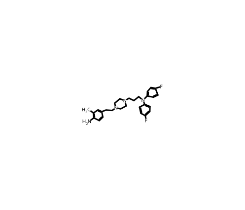 Cc1cc(CCN2CCN(CCCN(c3ccc(F)cc3)c3ccc(F)cc3)CC2)ccc1N